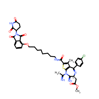 COC(=O)C[C@@H]1N=C(c2ccc(Cl)cc2)c2c(sc(C(=O)NCCCCCCCCOc3cccc4c3C(=O)N(C3CCC(=O)NC3=O)C4=O)c2C)N(C(C)=N)C1=N